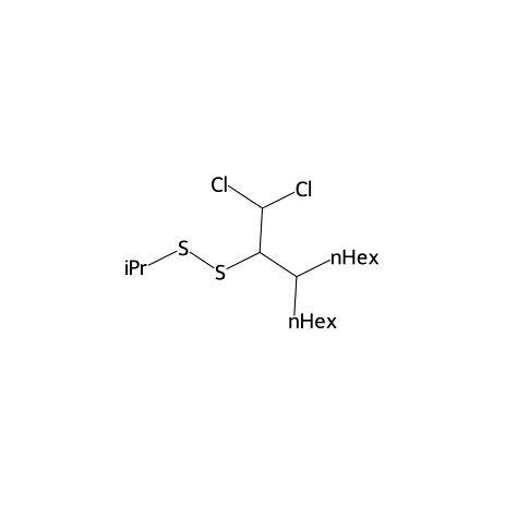 CCCCCCC(CCCCCC)C(SSC(C)C)C(Cl)Cl